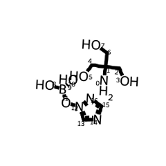 NC(CO)(CO)CO.OB(O)On1cncn1